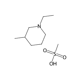 CCN1CCCC(C)C1.CS(=O)(=O)O